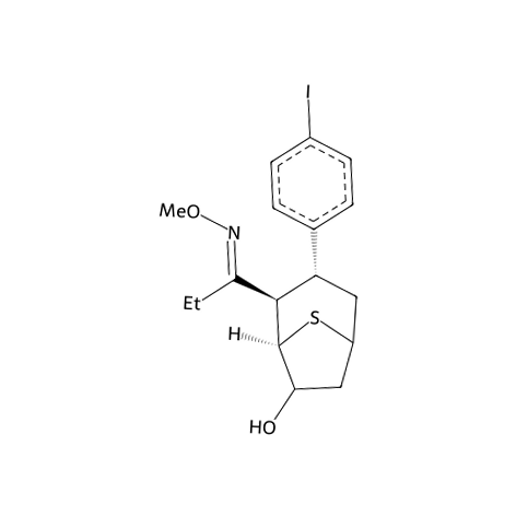 CCC(=NOC)[C@H]1[C@H](c2ccc(I)cc2)CC2CC(O)[C@@H]1S2